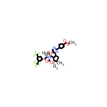 COC(=O)c1ccc(-c2ncc(OC)c(C3=C(CN4C(=O)O[C@H](c5cc(C(F)(F)F)cc(C(F)(F)F)c5)[C@@H]4C)CC(C)(C)CC3)n2)cc1